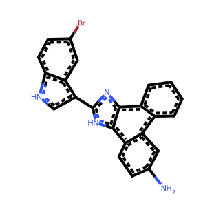 Nc1ccc2c(c1)c1ccccc1c1nc(-c3c[nH]c4ccc(Br)cc34)[nH]c21